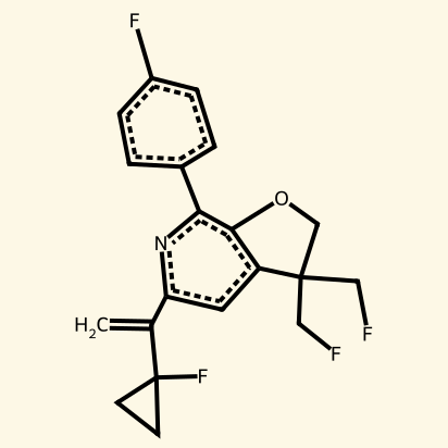 C=C(c1cc2c(c(-c3ccc(F)cc3)n1)OCC2(CF)CF)C1(F)CC1